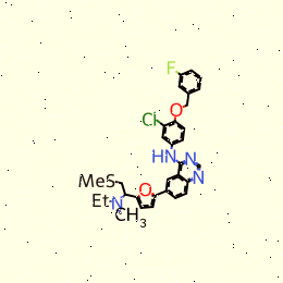 CCN(C)C(CSC)c1ccc(-c2ccc3ncnc(Nc4ccc(OCc5cccc(F)c5)c(Cl)c4)c3c2)o1